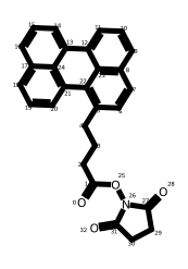 O=C(CCCc1ccc2cccc3c4cccc5cccc(c1c23)c54)ON1C(=O)CCC1=O